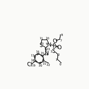 CCCSP(=O)(OCC)N1CCSC1=Nc1ccc(Cl)cc1C